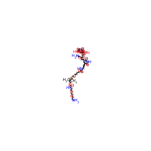 CC(C)(CCOC(=O)NCCOCCOCCN)SSCOCCCCOC(=O)NCC#Cc1cn([C@H]2C[C@H](OCN)[C@@H](COP(=O)(O)OP(=O)(O)OP(=O)(O)O)O2)c(=O)[nH]c1=O